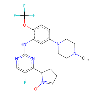 CN1CCN(c2ccc(OC(F)(F)F)c(Nc3ncc(F)c(C4CCC=[N+]4[O-])n3)c2)CC1